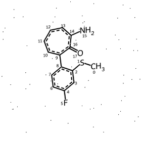 CSc1cc(F)ccc1-c1ccccc(N)c1=O